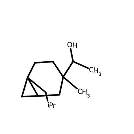 CC(C)CC12CCC(C)(C(C)O)CC1C2